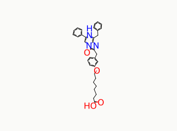 O=C(O)CCCCCCCOc1cccc(Cc2nc3c(Cc4ccccc4)[nH]c(-c4ccccc4)cn-3c2=O)c1